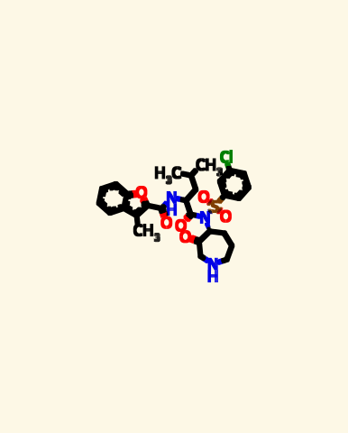 Cc1c(C(=O)NC(CC(C)C)C(=O)N([C@H]2CCCNCC2=O)S(=O)(=O)c2cccc(Cl)c2)oc2ccccc12